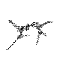 CC#CC#CC#CC#CC#CC#CC(=O)O[C@H](CCCCCCC)CCOC[C@H](COP(=O)(O)OCCNC(=O)NCCOP(=O)(O)OC[C@@H](COCC[C@@H](CCCCCCC)OC(=O)CCCCCCCCCCC)NC(=O)CC(=O)CCCCCCCCCCC)NC(=O)CC(=O)CCCCCCCCCCC